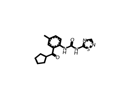 Cc1ccc(NC(=O)Nc2ncns2)c(C(=O)C2CCCC2)c1